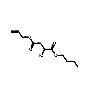 C=CCOC(=O)CC(O)C(=O)OCCCC